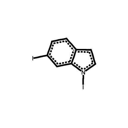 Ic1ccc2ccn(I)c2c1